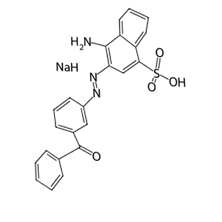 Nc1c(N=Nc2cccc(C(=O)c3ccccc3)c2)cc(S(=O)(=O)O)c2ccccc12.[NaH]